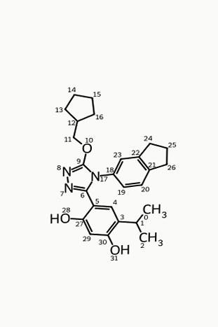 CC(C)c1cc(-c2nnc(OCC3CCCC3)n2-c2ccc3c(c2)CCC3)c(O)cc1O